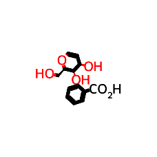 O=C(O)c1ccccc1.OC[C@H]1OC=C[C@@H](O)[C@@H]1O